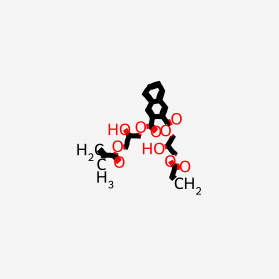 C=CC(=O)OCC(O)COC(=O)c1cc2ccccc2cc1C(=O)OCC(O)COC(=O)C(=C)C